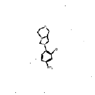 Nc1ccc(N2CC3COCCN3C2)c(Cl)c1